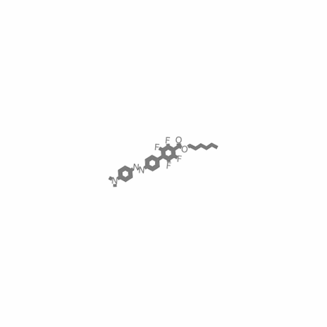 CCCCCCOC(=O)c1c(F)c(F)c(-c2ccc(/N=N/c3ccc(N(C)C)cc3)cc2)c(F)c1F